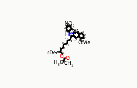 C=C(C)C(=O)OCC(CCCCCCCCCC)CCCCCCCC1=Cc2c(OC)cccc2[Se]C12Nc1ccc([N+](=O)[O-])cc1[Se]2